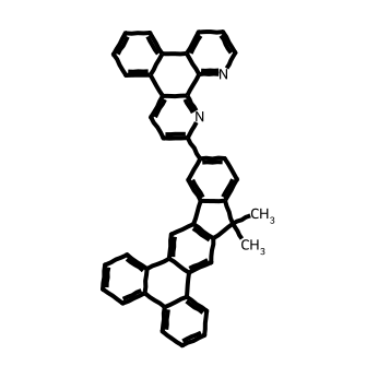 CC1(C)c2ccc(-c3ccc4c5ccccc5c5cccnc5c4n3)cc2-c2cc3c4ccccc4c4ccccc4c3cc21